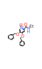 CCNC(=O)c1cc(OCc2ccccc2)c(OCc2ccccc2)c[n+]1[O-]